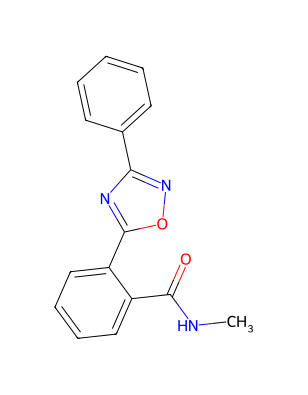 CNC(=O)c1ccccc1-c1nc(-c2ccccc2)no1